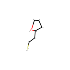 [S]CCC1CCCO1